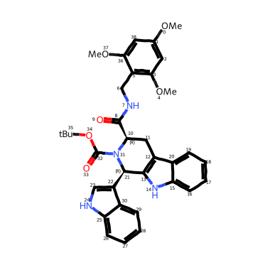 COc1cc(OC)c(CNC(=O)[C@H]2Cc3c([nH]c4ccccc34)[C@@H](c3c[nH]c4ccccc34)N2C(=O)OC(C)(C)C)c(OC)c1